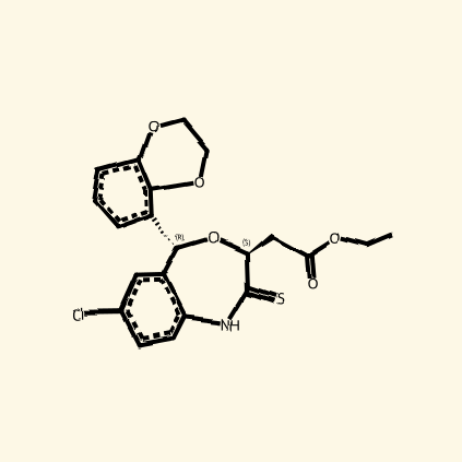 CCOC(=O)C[C@@H]1O[C@@H](c2cccc3c2OCCO3)c2cc(Cl)ccc2NC1=S